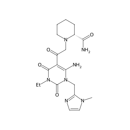 CCn1c(=O)c(C(=O)CN2CCCC[C@@H]2C(N)=O)c(N)n(Cc2nccn2C)c1=O